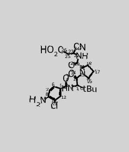 CC(C)(C)C(NC(=O)c1ccc(N)c(Cl)c1)C(=O)N1CCC[C@H]1C(=O)NC(C#N)CC(=O)O